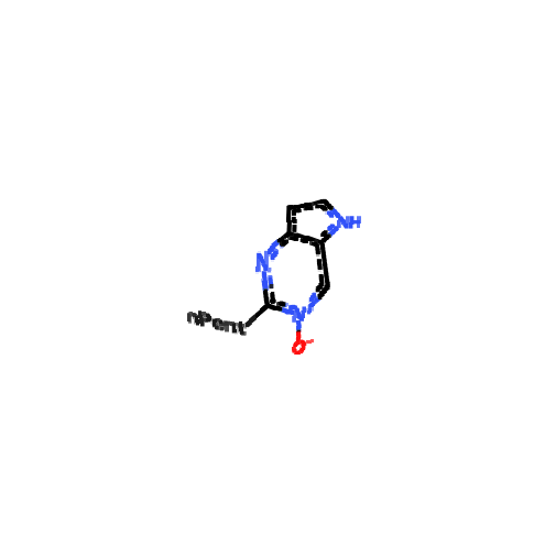 CCCCCc1nc2cc[nH]c2c[n+]1[O-]